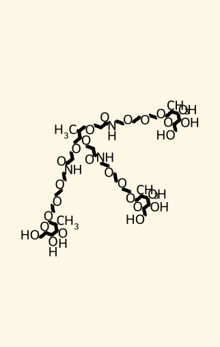 CC(COCCC(=O)NCCOCCOCCOC1OC(CO)C(O)C(O)C1C)C(COCCC(=O)NCCOCCOCCOC1OC(CO)C(O)C(O)C1C)OCCC(=O)NCCOCCOCCOC1OC(CO)C(O)C(O)C1C